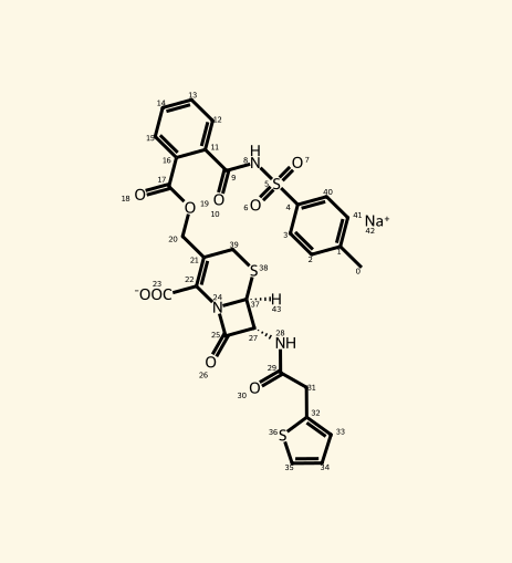 Cc1ccc(S(=O)(=O)NC(=O)c2ccccc2C(=O)OCC2=C(C(=O)[O-])N3C(=O)[C@@H](NC(=O)Cc4cccs4)[C@@H]3SC2)cc1.[Na+]